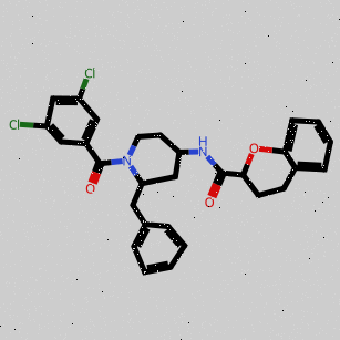 O=C(NC1CCN(C(=O)c2cc(Cl)cc(Cl)c2)C(Cc2ccccc2)C1)C1CCc2ccccc2O1